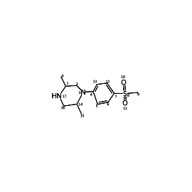 CC1CN(c2ccc(S(C)(=O)=O)cc2)C(C)CN1